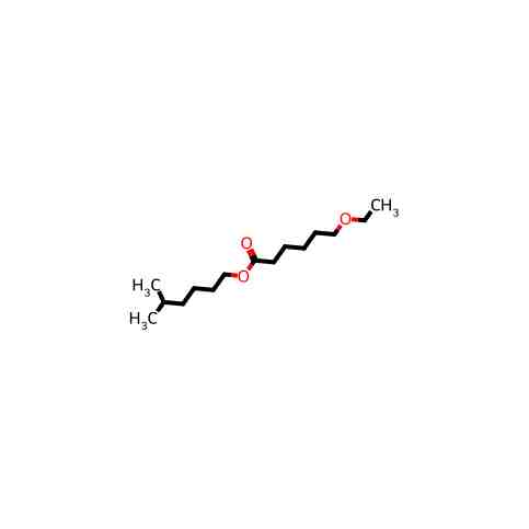 CCOCCCCCC(=O)OCCCCC(C)C